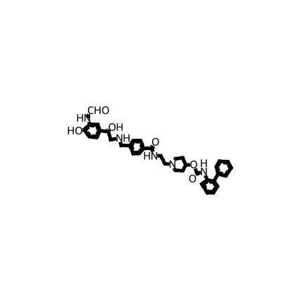 O=CNc1cc([C@@H](O)CNCc2ccc(C(=O)NCCN3CCC(OC(=O)Nc4ccccc4-c4ccccc4)CC3)cc2)ccc1O